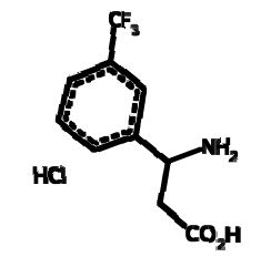 Cl.NC(CC(=O)O)c1cccc(C(F)(F)F)c1